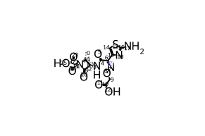 C[C@@H]1[C@H](NC(=O)/C(=N\OCC(=O)O)c2csc(N)n2)C(=O)N1S(=O)(=O)O